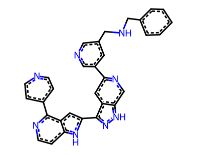 c1ccc(CNCc2cncc(-c3cc4c(-c5cc6c(-c7ccncc7)nccc6[nH]5)n[nH]c4cn3)c2)cc1